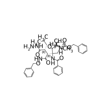 CC(C)C[C@@H](C(=O)NN)[C@@H](C(=O)NOCc1ccccc1)C(CC(C)C)(NC(=O)c1ccccc1)C(=O)[C@@H](C)NC(=O)OCc1ccccc1